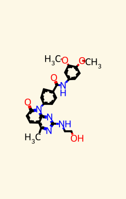 COc1ccc(NC(=O)c2ccc(-n3c(=O)ccc4c(C)nc(NCCO)nc43)cc2)cc1OC